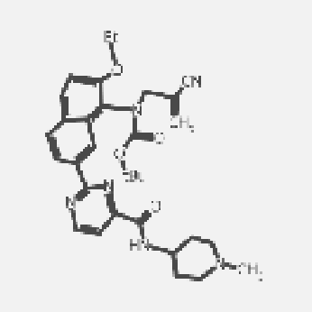 C=C(C#N)CN(C(=O)OC(C)(C)C)c1c(OCC)ccc2ccc(-c3nccc(C(=O)NC4CCN(C)CC4)n3)cc12